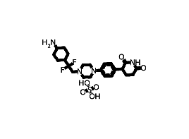 NC1CCC(C(F)(F)CN2CCN(c3ccc(C4CCC(=O)NC4=O)cc3)CC2)CC1.O=S(=O)(O)O